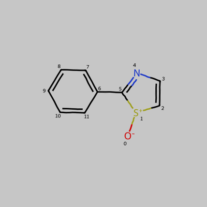 [O-][s+]1ccnc1-c1ccccc1